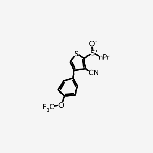 CCC[S+]([O-])c1scc(-c2ccc(OC(F)(F)F)cc2)c1C#N